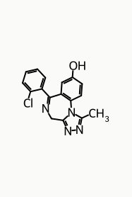 Cc1nnc2n1-c1ccc(O)cc1C(c1ccccc1Cl)=NC2